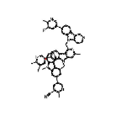 Cc1cc2c(c(Cn3c4ccncc4c4ccc(-c5cnc(C)c(F)c5)cc43)n1)c1ccc(-c3cnc(C)c(F)c3)cc1n2Cc1cc(-c2cnc(C)c(C#N)c2)cc2c1c1cnccc1n2C